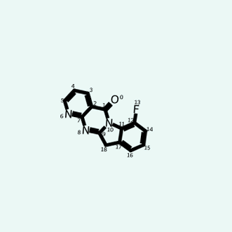 O=c1c2cccnc2nc2n1-c1c(F)cccc1C2